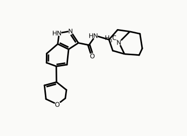 CN1C2CCCC1CC(NC(=O)c1n[nH]c3ccc(C4=CCOCC4)cc13)C2